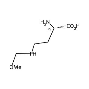 COCPCC[C@H](N)C(=O)O